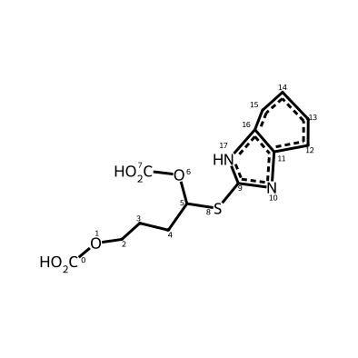 O=C(O)OCCCC(OC(=O)O)Sc1nc2ccccc2[nH]1